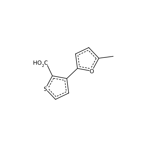 Cc1ccc(-c2ccsc2C(=O)O)o1